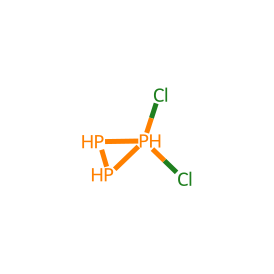 Cl[PH]1(Cl)PP1